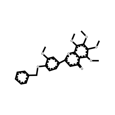 COc1cc(-c2cc(=O)c3c(OC)c(OC)c(OC)c(OC)c3o2)ccc1OCc1ccccc1